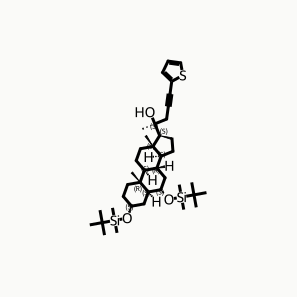 CC(C)(C)[Si](C)(C)O[C@H]1CC[C@@]2(C)[C@H](C1)[C@@H](O[Si](C)(C)C(C)(C)C)C[C@@H]1[C@@H]2CC[C@@]2(C)[C@H]1CC[C@@H]2[C@@](C)(O)CC#Cc1cccs1